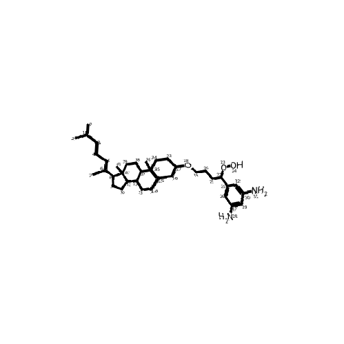 CC(C)CCCC(C)C1CCC2C3CCC4CC(OCCCC(OO)c5cc(N)cc(N)c5)CCC4(C)C3CCC12C